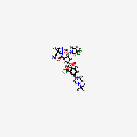 CC(C)(C)N1CCN(c2ccc(S(=O)(=O)[C@@H]3C[C@@H](C(=O)NC4(C#N)CC4)[C@H](C(=O)N4CCC(F)(F)C4)C3)c(Cl)c2)CC1